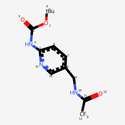 CC(C)(C)OC(=O)Nc1ccc(CNC(=O)C(F)(F)F)cn1